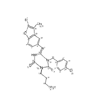 CCc1oc2ccc(/N=c3\[nH]c(=O)n(CCCC(=O)O)c(=O)n3Cc3ccc(Cl)cc3)cc2c1C